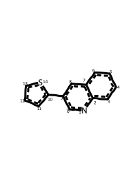 [c]1nc2ccccc2cc1-c1cccs1